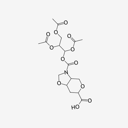 CC(=O)OCC(OC(C)=O)C(OC(C)=O)OC(=O)N1COC2CC(C(=O)O)OCC21